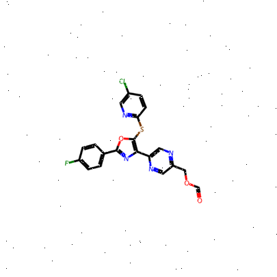 O=COCc1cnc(-c2nc(-c3ccc(F)cc3)oc2Sc2ccc(Cl)cn2)cn1